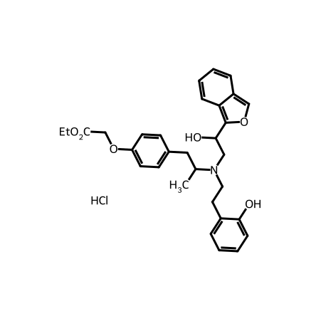 CCOC(=O)COc1ccc(CC(C)N(CCc2ccccc2O)CC(O)c2occ3ccccc23)cc1.Cl